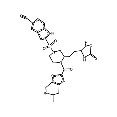 C#Cc1ccc2[nH]c(S(=O)(=O)N3CCN(C(=O)c4nc5c(o4)CNC(C)C5)C(CCC4NOC(=S)N4)C3)cc2c1